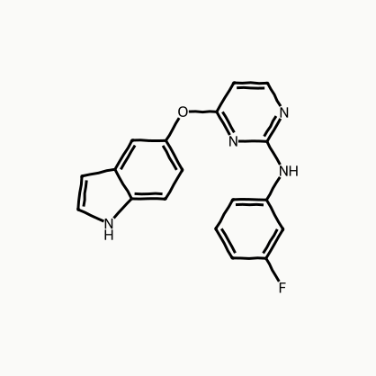 Fc1cccc(Nc2nccc(Oc3ccc4[nH]ccc4c3)n2)c1